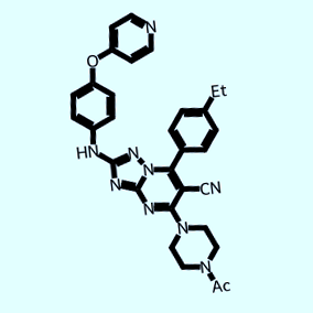 CCc1ccc(-c2c(C#N)c(N3CCN(C(C)=O)CC3)nc3nc(Nc4ccc(Oc5ccncc5)cc4)nn23)cc1